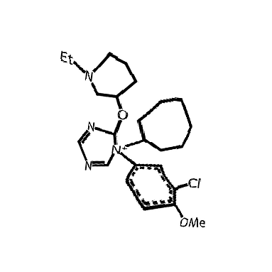 CCN1CCCC(OC2N=CN=C[N+]2(c2ccc(OC)c(Cl)c2)C2CCCCCC2)C1